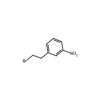 O=[N+]([O-])c1[c]c(CCBr)ccc1